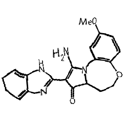 COc1ccc2c(c1)N1C(N)=C(c3nc4c([nH]3)=CCCC=4)C(=O)C1CCO2